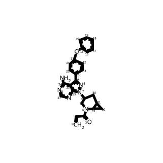 C=CC(=O)N1CC(n2nc(-c3ccc(Oc4ccccc4)cc3)c3c(N)ncnc32)CC2CC21